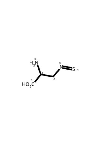 NC(CN=S)C(=O)O